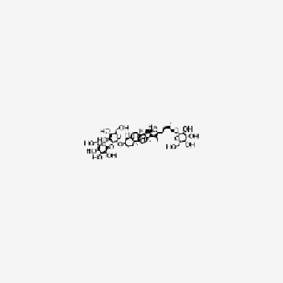 CC1=C(CC[C@H](C)CO[C@@H]2O[C@H](CO)[C@@H](O)[C@H](O)[C@H]2O)O[C@H]2C[C@H]3[C@@H]4CC[C@@H]5C[C@@H](O[C@@H]6O[C@H](CO)[C@H](O)[C@H](O)[C@H]6O[C@@H]6O[C@H](CO)[C@@H](O)[C@H](O)[C@H]6O)CC[C@]5(C)[C@H]4CC[C@]3(C)[C@@H]12